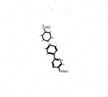 CCCCCCc1ccc(-c2ccc([C@H]3CC[C@H](C=O)CC3)cc2)nc1